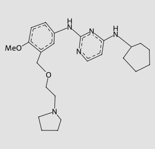 COc1ccc(Nc2nccc(NC3CCCCC3)n2)cc1COCCN1CCCC1